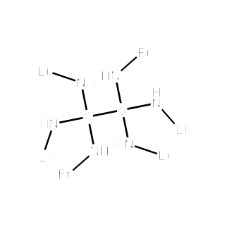 CCNS(NCC)(NCC)S(NCC)(NCC)NCC